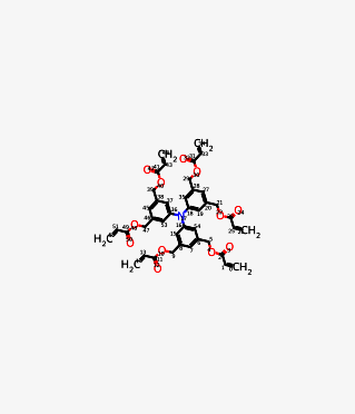 C=CC(=O)OCc1cc(COC(=O)C=C)cc(N(c2cc(COC(=O)C=C)cc(COC(=O)C=C)c2)c2cc(COC(=O)C=C)cc(COC(=O)C=C)c2)c1